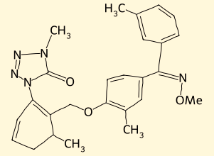 CO/N=C(/c1cccc(C)c1)c1ccc(OCC2=C(n3nnn(C)c3=O)C=CCC2C)c(C)c1